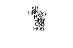 CSCC(=N)NCC(=O)NC(C(=O)NC1C(=O)N2[C@@H]1SC(C)(C)[C@@H]2C(=O)O)c1ccccc1